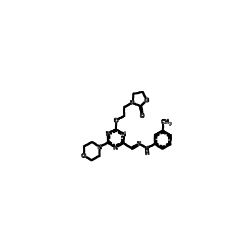 Cc1cccc(N/N=C/c2nc(OCCN3CCOC3=O)nc(N3CCOCC3)n2)c1